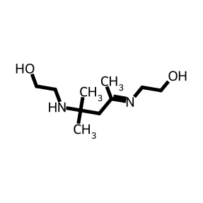 C/C(CC(C)(C)NCCO)=N\CCO